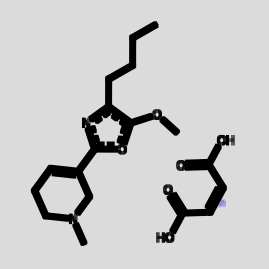 CCCCc1nc(C2=CCCN(C)C2)oc1OC.O=C(O)/C=C\C(=O)O